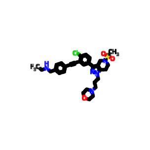 CS(=O)(=O)N1CCc2c(c(-c3ccc(Cl)c(C#Cc4ccc(CNCC(F)(F)F)cc4)c3)nn2CCCN2CCOCC2)C1